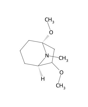 COC1C[C@]2(OC)CCC[C@H]1N2C